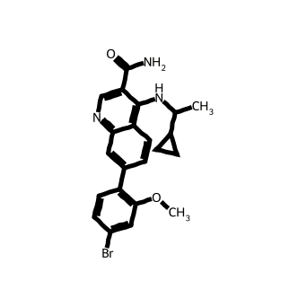 COc1cc(Br)ccc1-c1ccc2c(NC(C)C3CC3)c(C(N)=O)cnc2c1